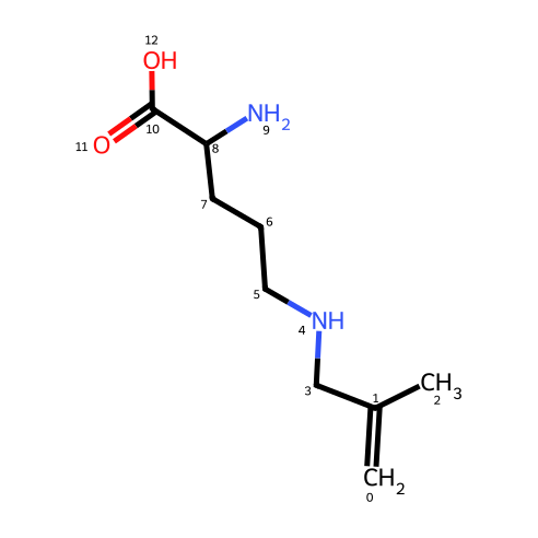 C=C(C)CNCCCC(N)C(=O)O